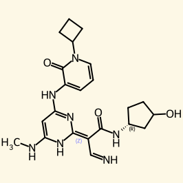 CNC1=CC(Nc2cccn(C3CCC3)c2=O)=N/C(=C(/C=N)C(=O)N[C@@H]2CCC(O)C2)N1